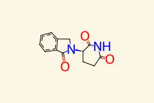 O=C1CC[C@@H](N2Cc3ccccc3C2=O)C(=O)N1